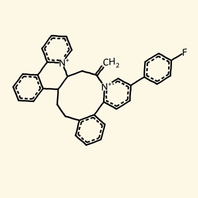 C=C1CC2C(CCc3ccccc3-c3ccc(-c4ccc(F)cc4)c[n+]31)c1ccccc1-c1cccc[n+]12